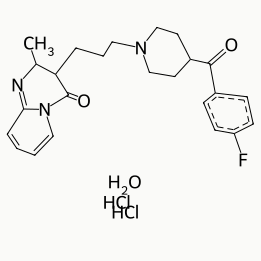 CC1N=C2C=CC=CN2C(=O)C1CCCN1CCC(C(=O)c2ccc(F)cc2)CC1.Cl.Cl.O